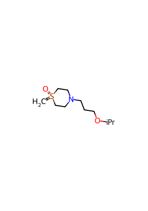 C=S1(=O)CCN(CCCOC(C)C)CC1